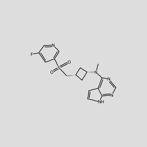 CN(c1ncnc2[nH]ccc12)[C@H]1C[C@@H](CS(=O)(=O)c2cncc(F)c2)C1